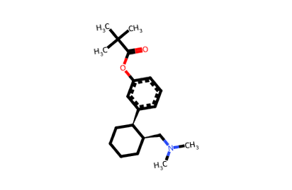 CN(C)C[C@H]1CCCC[C@H]1c1cccc(OC(=O)C(C)(C)C)c1